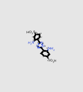 Nc1cc(S(=O)(=O)O)ccc1-c1nnc(-c2ccc(S(=O)(=O)O)cc2N)nn1